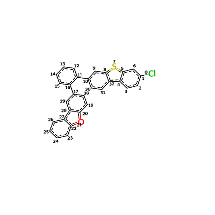 Clc1ccc2c(c1)sc1cc(-c3ccccc3-c3ccc4oc5ccccc5c4c3)ccc12